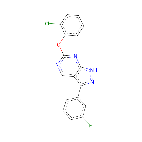 Fc1cccc(-c2n[nH]c3nc(Oc4ccccc4Cl)ncc23)c1